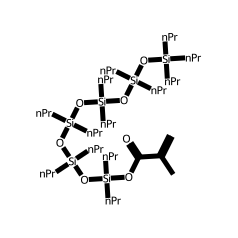 C=C(C)C(=O)O[Si](CCC)(CCC)O[Si](CCC)(CCC)O[Si](CCC)(CCC)O[Si](CCC)(CCC)O[Si](CCC)(CCC)O[Si](CCC)(CCC)CCC